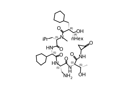 CCCCCC[C@@H](O)[C@@H](CC1CCCCC1)C(=O)N(C)[C@@H](CC(C)C)C(=O)N[C@H](C(=O)N[C@@H](CN)C(=O)N[C@H](C(=O)NC1CC1=O)[C@H](C)O)C1CCCCC1